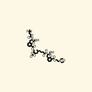 CC(CCCC(=O)N[C@H]1Cc2cccc(C(=O)OCCN3CCOCC3)c2OB1O)Cc1oc(=O)oc1COC(=O)c1cccc2c1OB(O)[C@@H](NC(=O)CCC(C)(F)F)C2